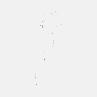 CCCCCc1c[nH]nn1